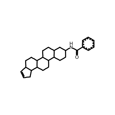 O=C(NC1CCC2C(CCC3C2CCC2C4CC=CC4CCC23)C1)c1ccccc1